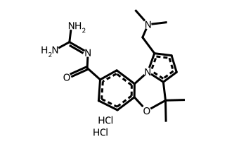 CN(C)Cc1ccc2n1-c1cc(C(=O)N=C(N)N)ccc1OC2(C)C.Cl.Cl